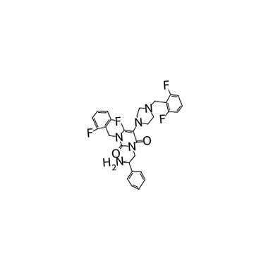 Cc1c(N2CCN(Cc3c(F)cccc3F)CC2)c(=O)n(C[C@H](N)c2ccccc2)c(=O)n1Cc1c(F)cccc1F